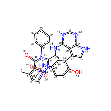 Cc1ccn2nc([C@H](C)Nc3ncnc4[nH]cc(-c5cc(NS(C)(=O)=O)ccc5O)c34)n(-c3ccccc3)c(=O)c12